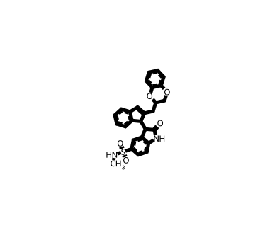 CNS(=O)(=O)c1ccc2c(c1)C(C1C(CC3COc4ccccc4O3)=Cc3ccccc31)C(=O)N2